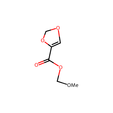 COCOC(=O)C1=COCO1